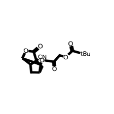 CC(C)(C)C(=O)OCC(=O)OC1C2CC3C1OC(=O)C3(C#N)C2